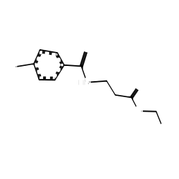 CCOC(=O)CCNC(=O)c1ccc(O)cc1